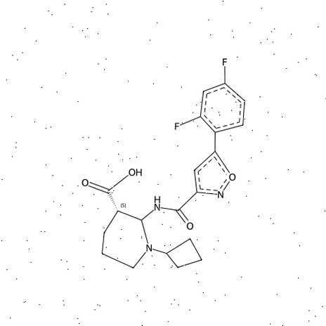 O=C(NC1[C@@H](C(=O)O)CCCN1C1CCC1)c1cc(-c2ccc(F)cc2F)on1